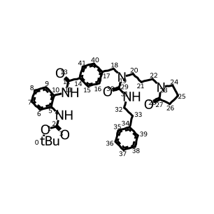 CC(C)(C)OC(=O)Nc1ccccc1NC(=O)c1ccc(CN(CCCN2CCCC2=O)C(=O)NCCc2ccccc2)cc1